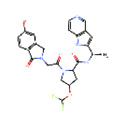 C[C@@H](NC(=O)C1C[C@@H](OC(F)F)CN1C(=O)CN1Cc2cc(Br)ccc2C1=O)c1cc2cnccc2[nH]1